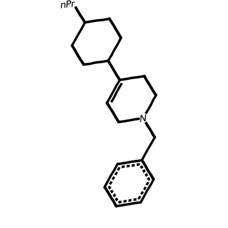 CCCC1CCC(C2=CCN(Cc3ccccc3)CC2)CC1